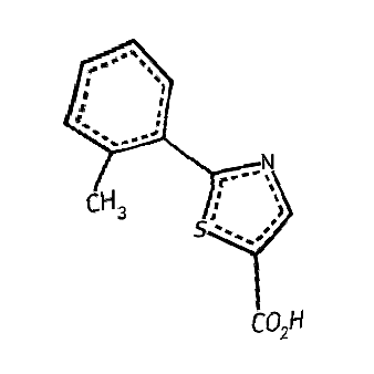 Cc1ccccc1-c1ncc(C(=O)O)s1